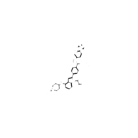 CC(Nc1ccc(S(C)(=O)=O)nc1)c1ccc(-c2cc3c(NC4CCN(C)CC4)cccc3n2C(F)C(F)F)cc1